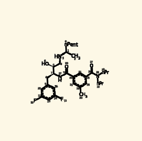 CCCCCC(C)NC[C@@H](O)[C@H](Cc1cc(F)cc(F)c1)NC(=O)c1cc(C)cc(C(=O)N(CCC)CCC)c1